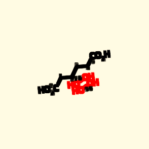 O=C(O)CCCCC(=O)O.OO.OO